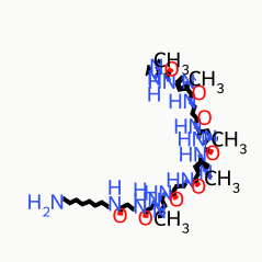 CN1CC(NC(=O)CCNC(=O)c2cc(NC(=O)[C@@H]3NC(NC(=O)CCNC(=O)c4cc(NC(=O)[C@@H]5NCCN5C)cn4C)CN3C)cn2C)NC1C(=O)NCCC(=O)NCCCCCCCCN